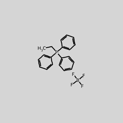 CC[P](c1ccccc1)(c1ccccc1)c1ccccc1.F[B-](F)(F)F